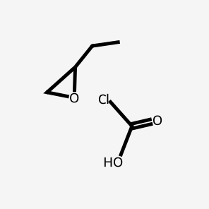 CCC1CO1.O=C(O)Cl